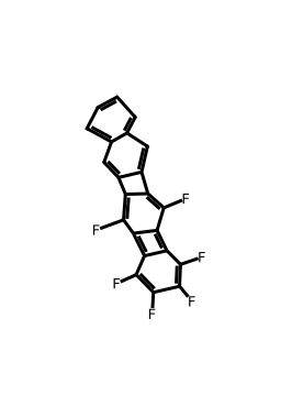 Fc1c(F)c(F)c2c(c1F)c1c(F)c3c4cc5ccccc5cc4c3c(F)c21